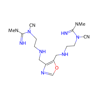 CNC(=N)N(C#N)CCNCc1ncoc1CNCCN(C#N)C(=N)NC